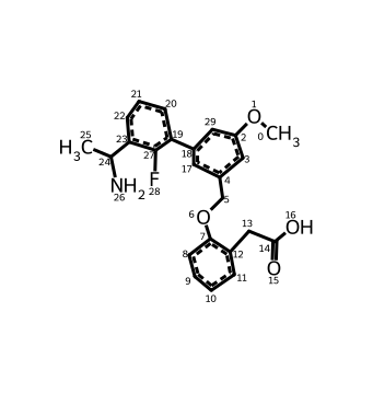 COc1cc(COc2ccccc2CC(=O)O)cc(-c2cccc(C(C)N)c2F)c1